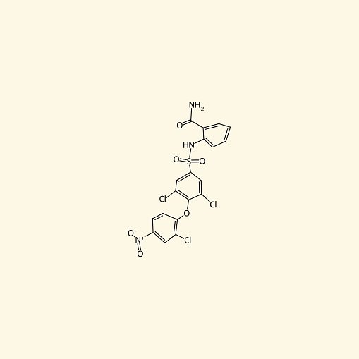 NC(=O)c1ccccc1NS(=O)(=O)c1cc(Cl)c(Oc2ccc([N+](=O)[O-])cc2Cl)c(Cl)c1